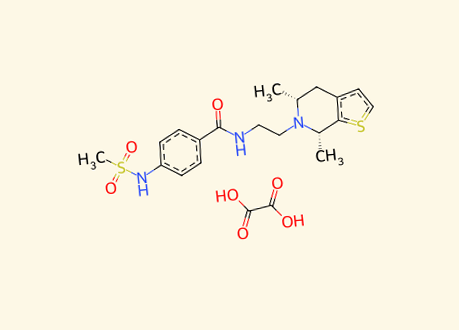 C[C@@H]1Cc2ccsc2[C@H](C)N1CCNC(=O)c1ccc(NS(C)(=O)=O)cc1.O=C(O)C(=O)O